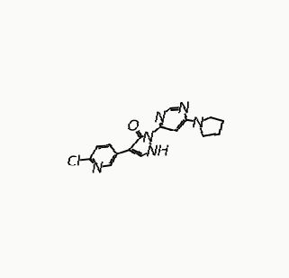 O=c1c(-c2ccc(Cl)nc2)c[nH]n1-c1cc(N2CCCC2)ncn1